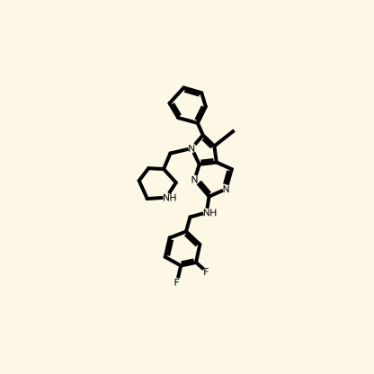 Cc1c(-c2ccccc2)n(CC2CCCNC2)c2nc(NCc3ccc(F)c(F)c3)ncc12